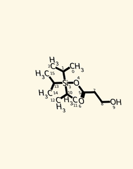 CC(C)[Si](OC(=O)CCO)(C(C)C)C(C)C